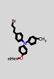 CCCCCCOc1ccc(N(c2ccc(C)cc2)c2ccc(CCCBr)cc2)cc1